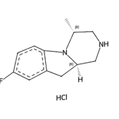 C[C@@H]1CNC[C@H]2Cc3cc(F)ccc3N21.Cl